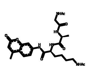 CC(=O)NCCCC[C@H](NC(=O)[C@H](C)NC(=O)CNC(C)=O)C(=O)Nc1ccc2c(C)cc(=O)oc2c1